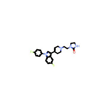 O=C1NCCN1CCN1CC=C(c2cn(-c3ccc(F)cc3)c3ccc(F)cc23)CC1